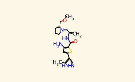 C=C(CN1CCC[C@H]1COC)NC(=O)c1sc(-c2cn[nH]c2C)cc1N